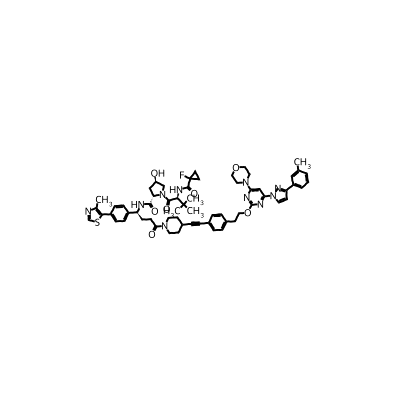 Cc1cccc(-c2ccn(-c3cc(N4CCOCC4)nc(OCCc4ccc(C#CC5CCN(C(=O)CC[C@H](NC(=O)[C@@H]6C[C@@H](O)CN6C(=O)[C@@H](NC(=O)C6(F)CC6)C(C)(C)C)c6ccc(-c7scnc7C)cc6)CC5)cc4)n3)n2)c1